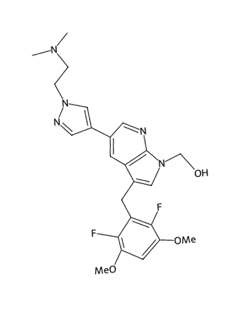 COc1cc(OC)c(F)c(Cc2cn(CO)c3ncc(-c4cnn(CCN(C)C)c4)cc23)c1F